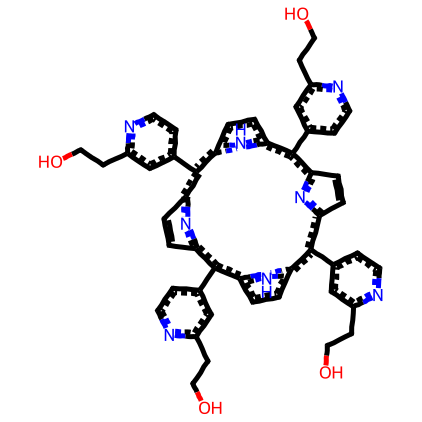 OCCc1cc(-c2c3nc(c(-c4ccnc(CCO)c4)c4ccc([nH]4)c(-c4ccnc(CCO)c4)c4nc(c(-c5ccnc(CCO)c5)c5ccc2[nH]5)C=C4)C=C3)ccn1